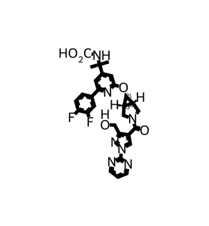 CC(C)(NC(=O)O)c1cc(O[C@@H]2[C@@H]3CN(C(=O)c4cn(-c5ncccn5)nc4CO)C[C@@H]32)nc(-c2ccc(F)c(F)c2)c1